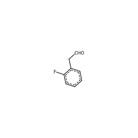 O=C[CH]c1ccccc1F